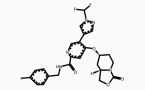 O=C(NCc1ccc(I)cc1)c1cc(O[C@H]2CCN3C(=O)OC[C@@H]3C2)c(-c2cnn(C(F)F)c2)cn1